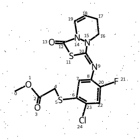 COC(=O)CSc1cc(N=c2sc(=O)n3n2CCC=C3)c(F)cc1Cl